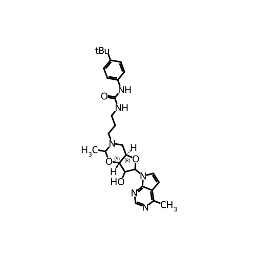 Cc1ncnc2c1ccn2C1O[C@@H]2CN(CCCNC(=O)Nc3ccc(C(C)(C)C)cc3)C(C)O[C@H]2C1O